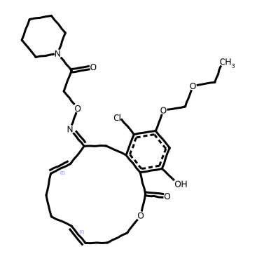 CCOCOc1cc(O)c2c(c1Cl)CC(=NOCC(=O)N1CCCCC1)/C=C/CC/C=C/CCOC2=O